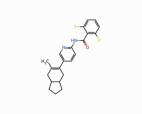 CC1=C(c2ccc(NC(=O)c3c(F)cccc3F)nc2)CC2CCCC2C1